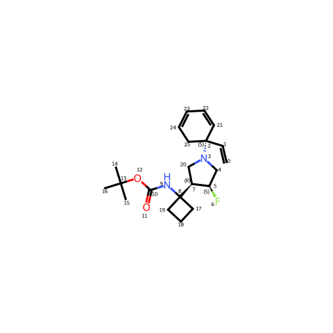 C=C[C@]1(N2C[C@@H](F)[C@@H](C3(NC(=O)OC(C)(C)C)CCC3)C2)C=CC=CC1